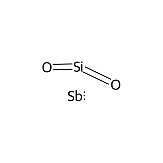 O=[Si]=O.[Sb]